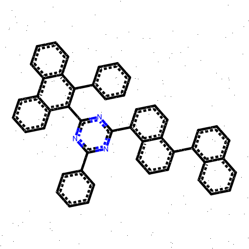 c1ccc(-c2nc(-c3cccc4c(-c5cccc6ccccc56)cccc34)nc(-c3c(-c4ccccc4)c4ccccc4c4ccccc34)n2)cc1